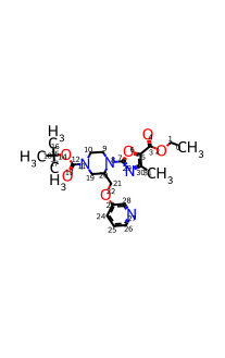 CCOC(=O)c1oc(N2CCN(C(=O)OC(C)(C)C)CC2COc2cccnc2)nc1C